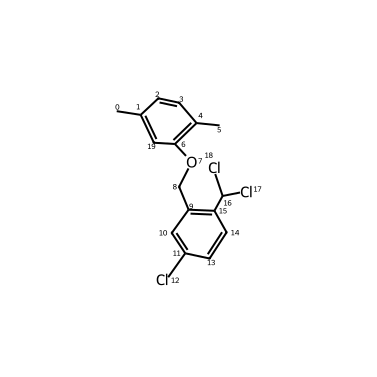 Cc1ccc(C)c(OCc2cc(Cl)ccc2C(Cl)Cl)c1